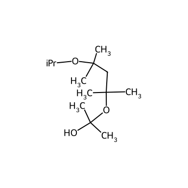 CC(C)OC(C)(C)CC(C)(C)OC(C)(C)O